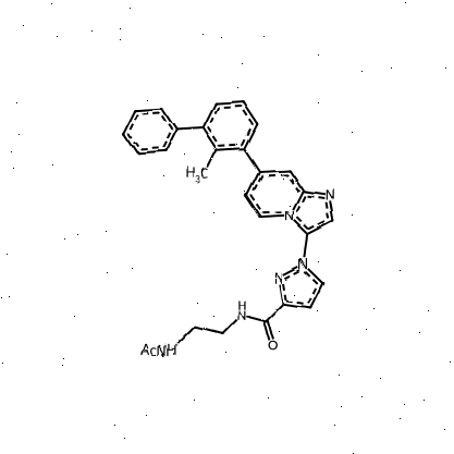 CC(=O)NCCNC(=O)c1ccn(-c2cnc3cc(-c4cccc(-c5ccccc5)c4C)ccn23)n1